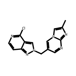 Cc1cn2cc(Cn3cc4c(Cl)nccc4n3)cnc2n1